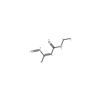 CCOC(=O)/C=C(/C)N=O